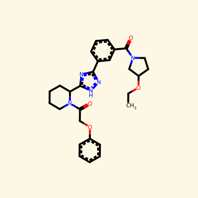 CCOC1CCN(C(=O)c2cccc(-c3n[nH]c(C4CCCCN4C(=O)COc4ccccc4)n3)c2)C1